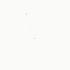 O=C(CO[PH](=O)O)c1ccc2oc(-c3ccccc3)cc2c1